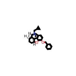 C[C@@]12CCC[C@@H]3Oc4c(OCc5ccccc5)ccc5c4[C@@]31CCN(CC1CC1)[C@@H]2C5